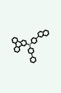 c1ccc(-c2ccc(N(c3ccc(-c4ccc5ccccc5c4)cc3)c3ccc4c5ccccc5c5ccccc5c4c3)cc2)cc1